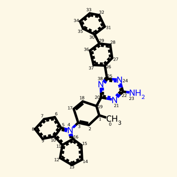 CC1C=C(n2c3ccccc3c3ccccc32)C=CC1c1nc(N)nc(-c2ccc(-c3ccccc3)cc2)n1